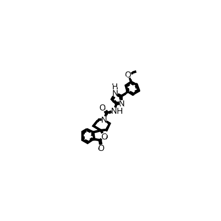 COc1cccc(-c2nc(NC(=O)N3CCC4(CC3)OC(=O)c3ccccc34)c[nH]2)c1